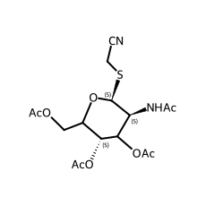 CC(=O)N[C@H]1C(OC(C)=O)[C@H](OC(C)=O)C(COC(C)=O)O[C@H]1SCC#N